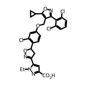 CCn1nc(C(=O)O)cc1C1=NOC(c2ccc(OCc3c(-c4c(Cl)cccc4Cl)noc3C3CC3)cc2Cl)C1